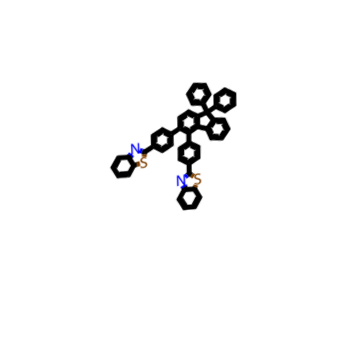 C1=CC2=NC(c3ccc(-c4ccc5c(c4-c4ccc(C6N=C7C=CC=CC7S6)cc4)-c4ccccc4C5(c4ccccc4)c4ccccc4)cc3)SC2C=C1